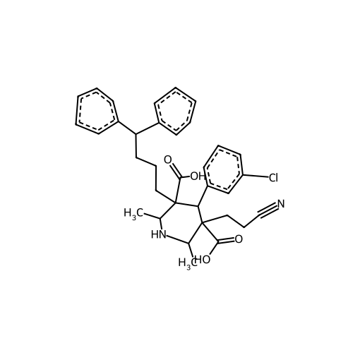 CC1NC(C)C(CCCC(c2ccccc2)c2ccccc2)(C(=O)O)C(c2cccc(Cl)c2)C1(CCC#N)C(=O)O